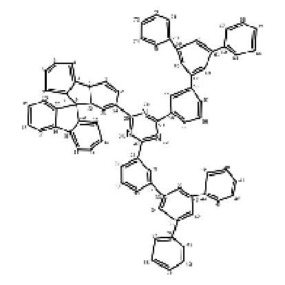 C1=CC2c3ccccc3C3(c4ccccc4-c4ccccc43)C2C=C1c1nc(-c2cccc(-c3cc(-c4ccccc4)cc(-c4ccccc4)c3)c2)nc(-c2cccc(-c3cc(-c4ccccc4)cc(-c4ccccc4)c3)c2)n1